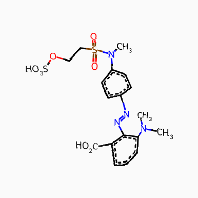 CN(C)c1cccc(C(=O)O)c1N=Nc1ccc(N(C)S(=O)(=O)CCOS(=O)(=O)O)cc1